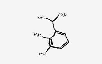 CCOC(=O)C([C]=O)c1cccc(O)c1O